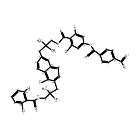 CC(C)(COC(=O)c1c(Cl)cc(OC(=O)c2ccc(C([O])=O)cc2)cc1Cl)Cc1ccc2c(Cl)c(CC(C)(C)COC(=O)c3c(Cl)c[c]cc3Cl)ccc2c1